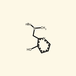 CCCCN(C)Cc1ncccc1O